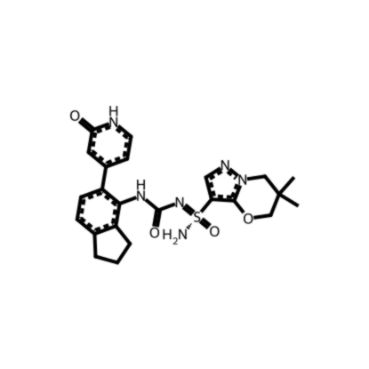 CC1(C)COc2c([S@@](N)(=O)=NC(=O)Nc3c(-c4cc[nH]c(=O)c4)ccc4c3CCC4)cnn2C1